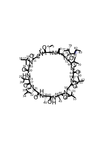 C=C1N[C@@H](CC)C(=O)N(C)CC(=O)N(C)[C@@H](CC(C)C)C(=O)NC(C(C)C)C(=O)N(C)[C@@H](CC(C)C)C(=O)N[C@@H](C)C(=O)N[C@H](C)C(=O)N(C)[C@@H](CC(C)C)C(=O)N(C)[C@@H](CC(C)C)C(=O)N(C)C(C(C)C)C(=O)N(C)[C@H]1C[C@H](C)C/C=C/C